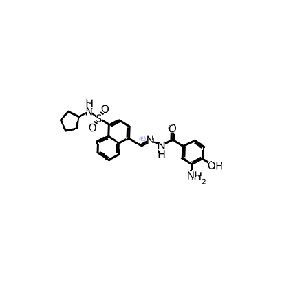 Nc1cc(C(=O)N/N=C/c2ccc(S(=O)(=O)NC3CCCC3)c3ccccc23)ccc1O